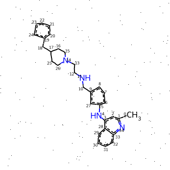 Cc1cc(Nc2cccc(CNCCN3CCC(Cc4ccccc4)CC3)c2)c2ccccc2n1